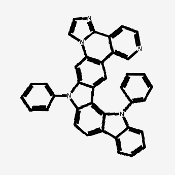 c1ccc(-n2c3cc4c(cc3c3c2ccc2c5ccccc5n(-c5ccccc5)c23)c2cnccc2c2nccn42)cc1